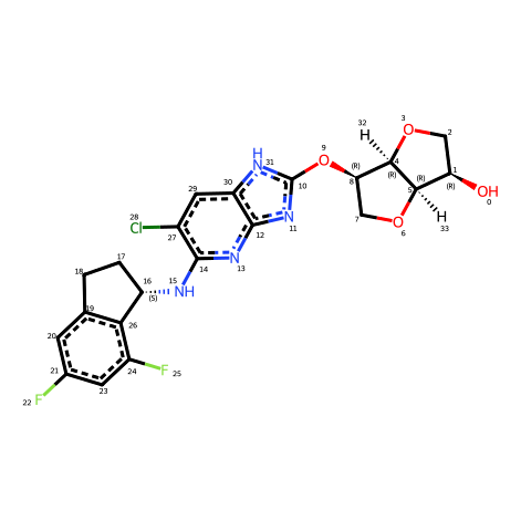 O[C@@H]1CO[C@H]2[C@@H]1OC[C@H]2Oc1nc2nc(N[C@H]3CCc4cc(F)cc(F)c43)c(Cl)cc2[nH]1